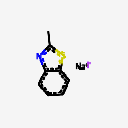 Cc1nc2ccccc2s1.[I-].[Na+]